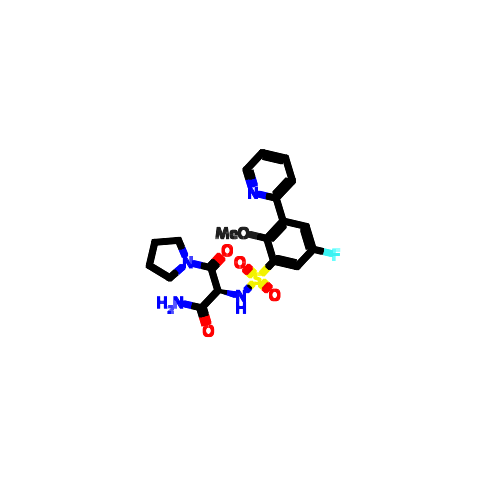 COc1c(-c2ccccn2)cc(F)cc1S(=O)(=O)N[C@@H](C(N)=O)C(=O)N1CCCC1